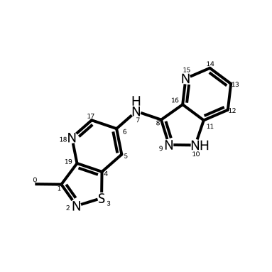 Cc1nsc2cc(Nc3n[nH]c4cccnc34)cnc12